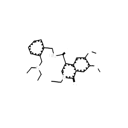 CCN(CC)Cc1ccccc1CNC(=O)c1cn(CC)c(=O)c2cc(OC)c(OC)cc12